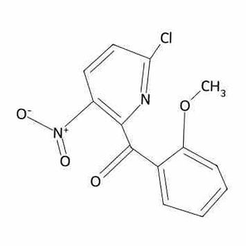 COc1ccccc1C(=O)c1nc(Cl)ccc1[N+](=O)[O-]